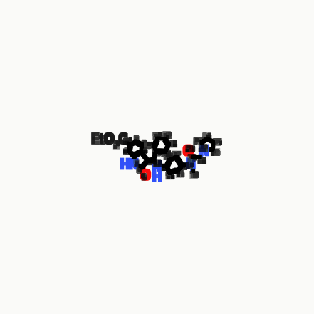 CCOC(=O)c1ccc2c(c1)NC(=O)/C2=C(\Nc1ccc(N(C)C(=O)CN2CCCC2)cc1)c1ccccc1